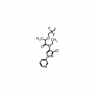 CCN(C(=O)C(C)OCC(F)(F)F)c1cn(-c2cccnc2)nc1Cl